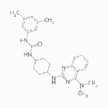 Cc1cc(C)cc(NC(=O)NC2CCC(Nc3nc(N(C)C)c4ccccc4n3)CC2)c1